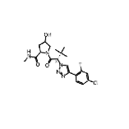 CNC(=O)C1CC(O)CN1C(=O)[C@@H](n1cc(-c2ccc(Cl)cc2F)nn1)C(C)(C)C